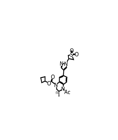 CC(=O)N1c2ccc(-c3cnn(C4CS(=O)(=O)C4)c3)cc2N(C(=O)OC2CCC2)C[C@@H]1C